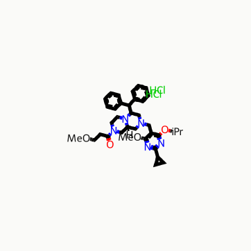 COCCC(=O)N1CCN2C(C(c3ccccc3)c3ccccc3)CN(Cc3c(OC)nc(C4CC4)nc3OC(C)C)C[C@@H]2C1.Cl.Cl